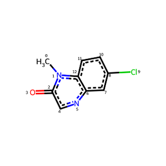 Cn1c(=O)cnc2cc(Cl)ccc21